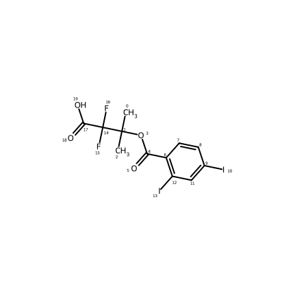 CC(C)(OC(=O)c1ccc(I)cc1I)C(F)(F)C(=O)O